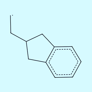 [CH2]CC1Cc2ccccc2C1